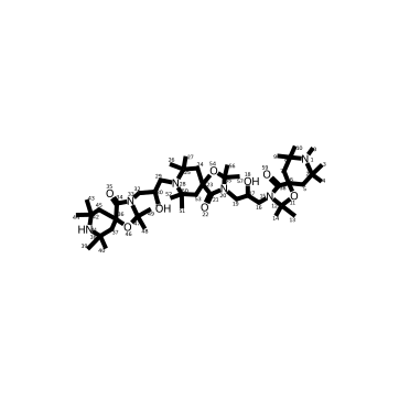 CN1C(C)(C)CC2(CC1(C)C)OC(C)(C)N(CC(O)CN1C(=O)C3(CC(C)(C)N(CC(O)CN4C(=O)C5(CC(C)(C)NC(C)(C)C5)OC4(C)C)C(C)(C)C3)OC1(C)C)C2=O